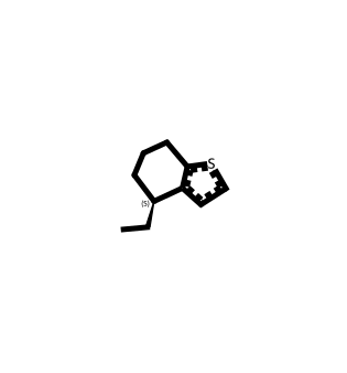 CC[C@H]1CCCc2sccc21